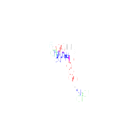 COC(=O)C1=C(CN2CCN(C(=O)CCOCCOCCOC(=O)CCCc3ccc(N(CCCl)CCCl)cc3)CC2)NC(c2ccccn2)=NC1c1ccc(F)cc1Cl